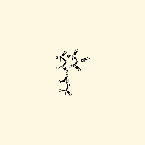 O=[PH]([O-])O[PH](=O)[O-].O=[PH]([O-])O[PH](=O)[O-].O=[PH]([O-])O[PH](=O)[O-].[Rh+3].[Rh+3]